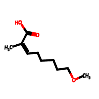 COCCCCCC=C(C)C(=O)O